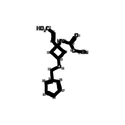 CC(C)(C)OC(=O)NC1(C=CC(=O)O)CC(OCc2ccccc2)C1